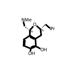 CNC[C@@H]1O[C@H](CC(C)C)Cc2c1ccc(O)c2O